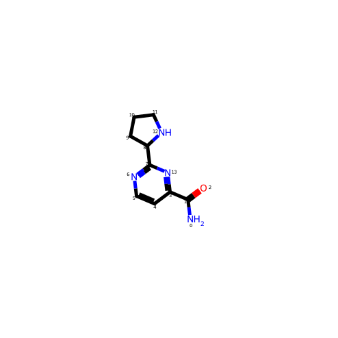 NC(=O)c1ccnc(C2CCCN2)n1